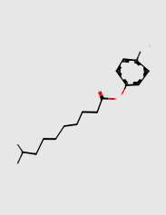 CCC(CC)CCCCCCCC(=O)Oc1ccc(OC(C)=O)cc1